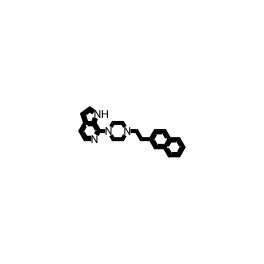 c1ccc2cc(CCN3CCN(c4nccc5cc[nH]c45)CC3)ccc2c1